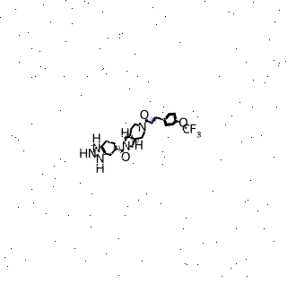 O=C(/C=C/c1ccc(OC(F)(F)F)cc1)N1CC[C@@H]2CN(C(=O)[C@H]3CCC4=C(C3)NNN4)C[C@@H]2CC1